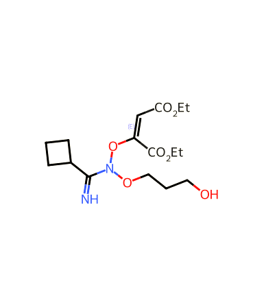 CCOC(=O)/C=C(/ON(OCCCO)C(=N)C1CCC1)C(=O)OCC